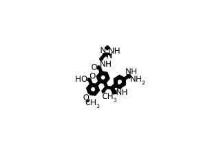 CCC(c1ccc(C(=O)NCc2nc[nH]n2)cc1-c1ccc(OC)cc1C(=O)O)c1c[nH]c2cc(C(=N)N)ccc12